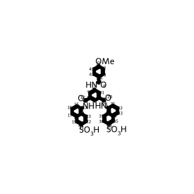 COc1ccc(C(=O)Nc2cc(C(=O)Nc3cccc4cc(S(=O)(=O)O)ccc34)cc(C(=O)Nc3cccc4cc(S(=O)(=O)O)ccc34)c2)cc1